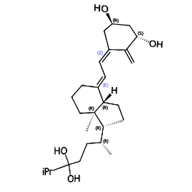 C=C1/C(=C\C=C2/CCC[C@]3(C)[C@@H]([C@H](C)CCC(O)(O)C(C)C)CC[C@@H]23)C[C@@H](O)C[C@@H]1O